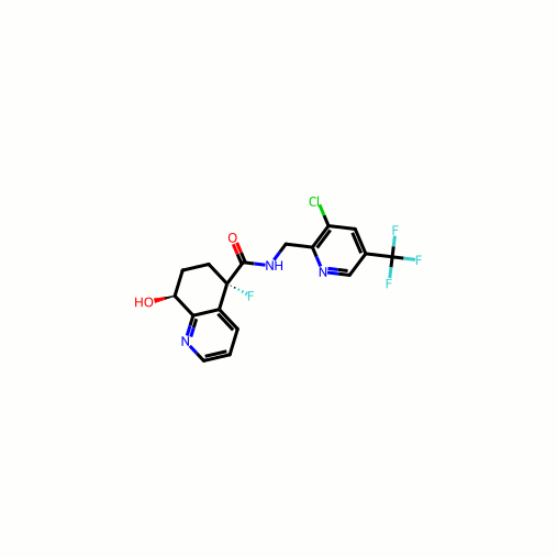 O=C(NCc1ncc(C(F)(F)F)cc1Cl)[C@]1(F)CC[C@H](O)c2ncccc21